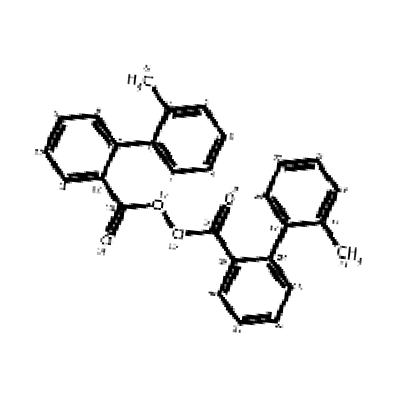 Cc1ccccc1-c1ccccc1C(=O)OOC(=O)c1ccccc1-c1ccccc1C